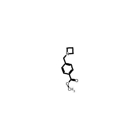 COC(=O)c1ccc(CN2CCC2)cc1